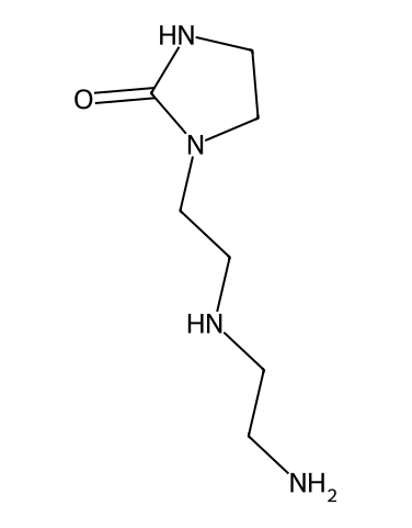 NCCNCCN1CCNC1=O